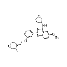 CCOc1ccc2nc(-c3cccc(OCCN4CCOCC4C)c3)nc(NC3CCOC3)c2c1